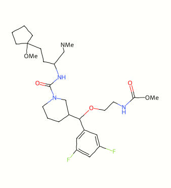 CNCC(CCC1(OC)CCCC1)NC(=O)N1CCCC(C(OCCNC(=O)OC)c2cc(F)cc(F)c2)C1